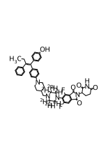 [2H]C1([2H])N(CC2CCN(c3ccc(C(=C(CC)c4ccccc4)c4ccc(O)cc4)cc3)CC2)C([2H])([2H])C([2H])([2H])N(c2c(F)cc3c(c2F)C(=O)N(C2CCC(=O)NC2=O)C3=O)C1([2H])[2H]